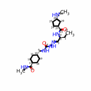 CC[C@@H](/C=N/NC(=O)NC[C@H]1CC[C@H](C(=O)NC)CC1)NC(=O)[C@H]1CC[C@H](NC)C1